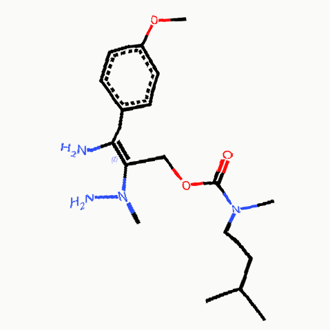 COc1ccc(/C(N)=C(\COC(=O)N(C)CCC(C)C)N(C)N)cc1